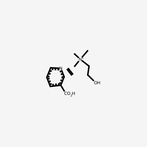 C=C.C[N+](C)(C)CCO.O=C(O)c1cccnc1